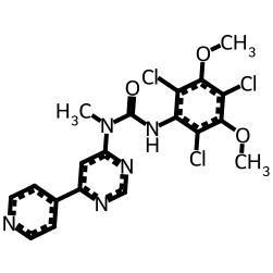 COc1c(Cl)c(NC(=O)N(C)c2cc(-c3ccncc3)ncn2)c(Cl)c(OC)c1Cl